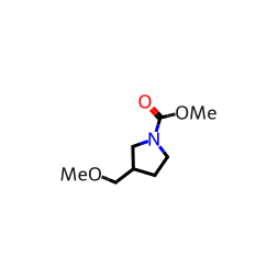 COCC1CCN(C(=O)OC)C1